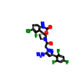 Nc1cc(-c2c(F)cc(F)cc2F)nn1CC(=O)N1CC[C@@]2(C1)OC(=O)Nc1ccc(Cl)c(F)c12